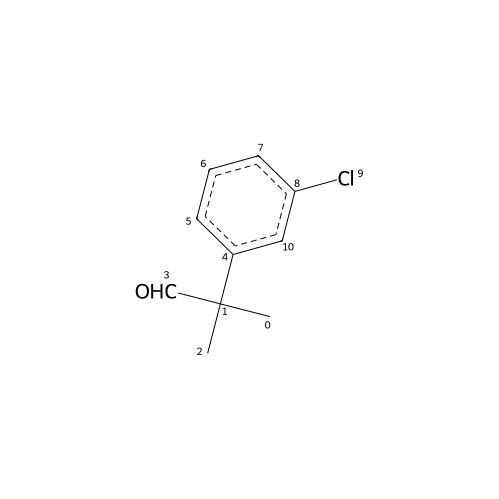 CC(C)(C=O)c1cccc(Cl)c1